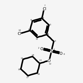 O=S(=O)(Cc1cc(Cl)cc(Cl)c1)OC1CCCCC1